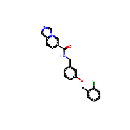 O=C(NCc1cccc(OCc2ccccc2F)c1)c1ccc2cncn2c1